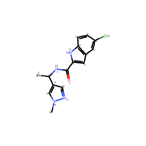 CC(C)C(NC(=O)c1cc2cc(Cl)ccc2[nH]1)c1cnn(C)c1